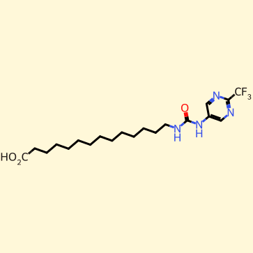 O=C(O)CCCCCCCCCCCCCNC(=O)Nc1cnc(C(F)(F)F)nc1